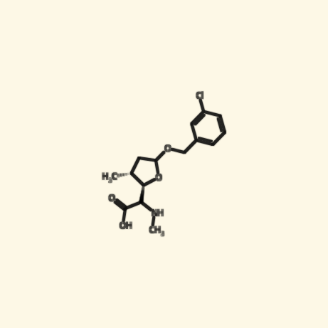 CNC(C(=O)O)[C@@H]1OC(OCc2cccc(Cl)c2)C[C@H]1C